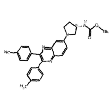 Cc1ccc(-c2nc3ccc(N4CC[C@H](NC(=O)OC(C)(C)C)C4)cc3nc2-c2ccc(C#N)cc2)cc1